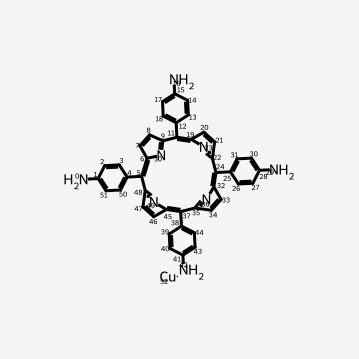 Nc1ccc(C2=C3C=CC(=N3)C(c3ccc(N)cc3)=C3C=CC(=N3)C(c3ccc(N)cc3)=C3C=CC(=N3)C(c3ccc(N)cc3)=C3C=CC2=N3)cc1.[Cu]